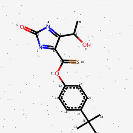 CC(O)C1=NC(=O)N=C1C(=S)Oc1ccc(C(C)(C)C)cc1